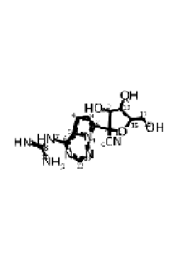 N#CC1(c2ccc3c(NC(=N)N)ncnn23)OC(CO)C(O)C1O